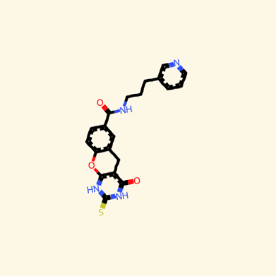 O=C(NCCCc1cccnc1)c1ccc2c(c1)Cc1c([nH]c(=S)[nH]c1=O)O2